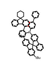 CC(C)(C)c1ccc2c(c1)C1(c3ccccc3-c3ccc(N(c4ccc(-c5ccccc5)cc4)c4ccccc4-c4cccc5c4-c4ccccc4C54CCCCC4)cc31)c1cc(C(C)(C)C)ccc1-2